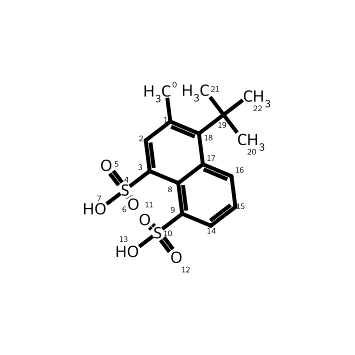 Cc1cc(S(=O)(=O)O)c2c(S(=O)(=O)O)cccc2c1C(C)(C)C